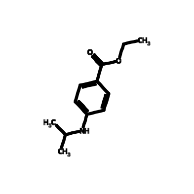 CCOC(=O)c1ccc(NC(C)C)cc1